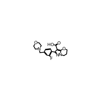 O=C(O)c1c(-c2ccc(CN3CCOCC3)cc2F)nn2c1OCCC2